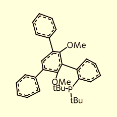 COc1c(-c2ccccc2)cc(-c2ccccc2)c(OC)c1-c1ccccc1P(C(C)(C)C)C(C)(C)C